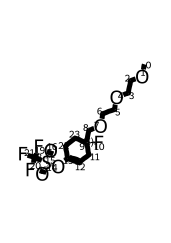 COCCOCCOC[C@@]1(F)CC=C(OS(=O)(=O)C(F)(F)F)CC1